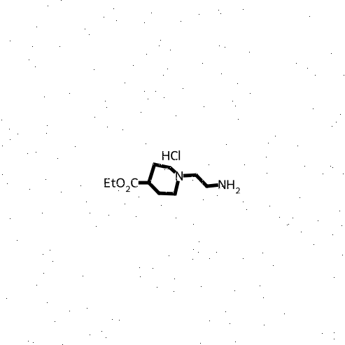 CCOC(=O)C1CCN(CCN)CC1.Cl